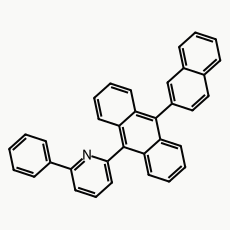 c1ccc(-c2cccc(-c3c4ccccc4c(-c4ccc5ccccc5c4)c4ccccc34)n2)cc1